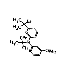 CCCC(C)(C)N(c1cccc(OC)c1)c1cccc(C(C)(C)CC)n1